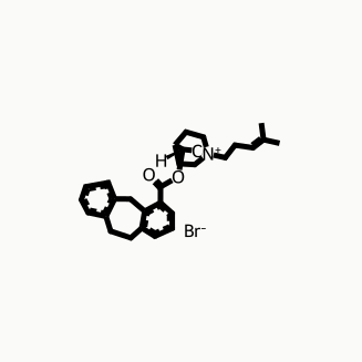 CC(C)=CCC[N+]12CCC(CC1)[C@@H](OC(=O)c1cccc3c1Cc1ccccc1CC3)C2.[Br-]